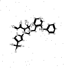 CC1(C)C(C(=O)C=O)N(c2cc(C(F)(F)F)cs2)CN1Cc1ccncc1Nc1ccccc1